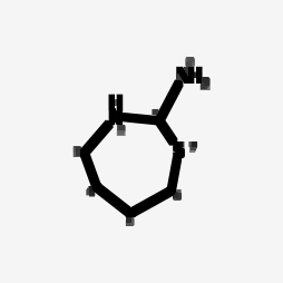 NC1NCCCCS1